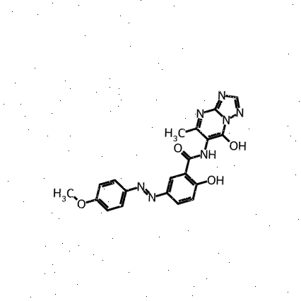 COc1ccc(N=Nc2ccc(O)c(C(=O)Nc3c(C)nc4ncnn4c3O)c2)cc1